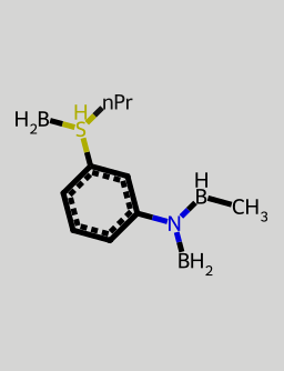 BN(BC)c1cccc([SH](B)CCC)c1